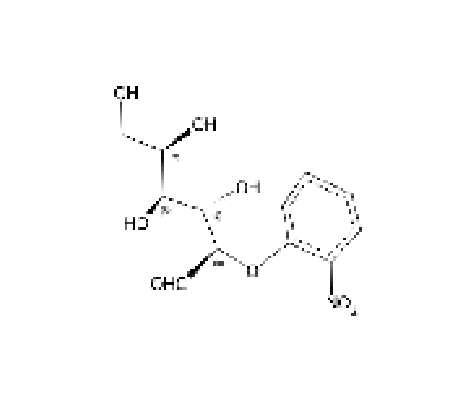 O=C[C@H](Oc1ccccc1[N+](=O)[O-])[C@@H](O)[C@@H](O)[C@H](O)CO